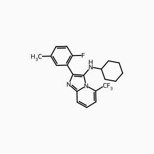 Cc1ccc(F)c(-c2nc3cccc(C(F)(F)F)n3c2NC2CCCCC2)c1